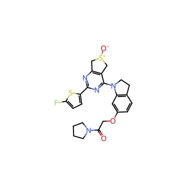 O=C(COc1ccc2c(c1)N(c1nc(-c3ccc(F)s3)nc3c1C[S+]([O-])C3)CC2)N1CCCC1